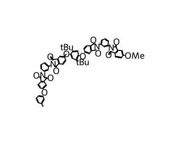 COc1ccc2c(c1)C(=O)N(c1cccc(N3C(=O)c4ccc(Oc5cc(C(C)(C)C)c(Oc6ccc7c(c6)C(=O)N(c6cccc(N8C(=O)c9ccc(Oc%10cccc(C)c%10)cc9C8=O)c6)C7=O)cc5C(C)(C)C)cc4C3=O)c1)C2=O